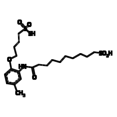 Cc1ccc(OCCCCS(=O)(=O)S)c(NC(=O)CCCCCCCCCS(=O)(=O)O)c1